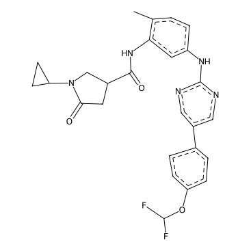 Cc1ccc(Nc2ncc(-c3ccc(OC(F)F)cc3)cn2)cc1NC(=O)C1CC(=O)N(C2CC2)C1